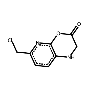 O=C1CNc2ccc(CCl)nc2O1